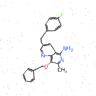 Cc1nc(N)c2cc(Cc3ccc(F)cc3)cnc2c1OCc1ccccc1